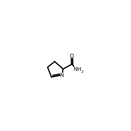 NC(=O)C1CCC=N1